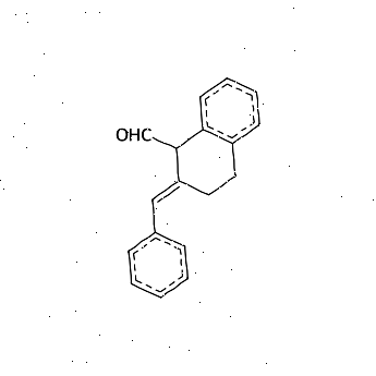 O=CC1C(=Cc2ccccc2)CCc2ccccc21